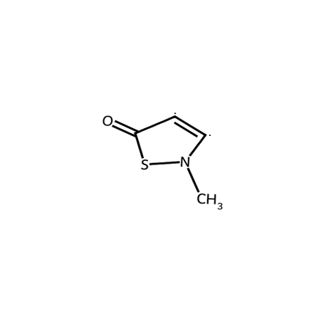 Cn1[c][c]c(=O)s1